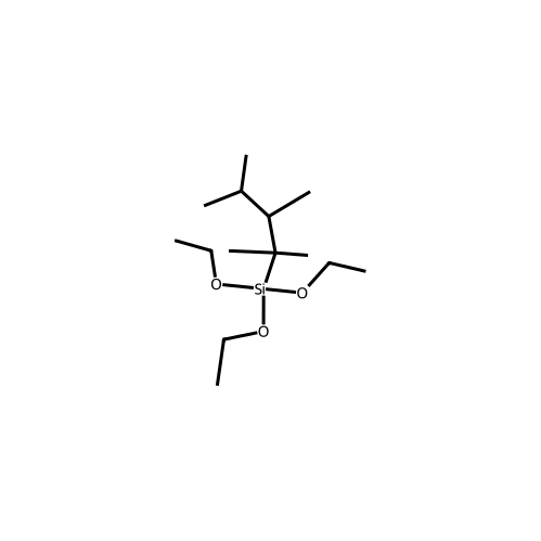 CCO[Si](OCC)(OCC)C(C)(C)C(C)C(C)C